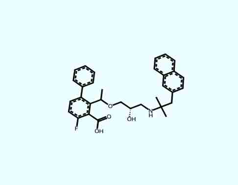 CC(OC[C@@H](O)CNC(C)(C)Cc1ccc2ccccc2c1)c1c(-c2ccccc2)ccc(F)c1C(=O)O